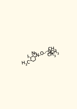 Cc1ccc2c(ncn2COCC[Si](C)(C)C)c1I